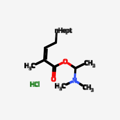 CCCCCCCCC=C(C)C(=O)OC(C)N(C)C.Cl